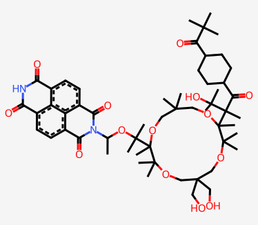 CC(OC(C)(C)C1(C)OCC(C)(C)COC(C)(C(C)(C(=O)C2CCC(C(=O)C(C)(C)C)CC2)C(C)(C)O)C(C)(C)OCC(CO)(CO)COC1(C)C)N1C(=O)c2ccc3c4c(ccc(c24)C1=O)C(=O)NC3=O